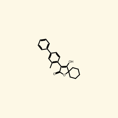 Cc1cc(-c2ccccc2)ccc1C1=C(O)C2(CCCCC2)OC1=O